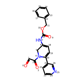 O=CC(=O)N1CC(NC(=O)OCc2ccccc2)=CC=C1c1cccnc1